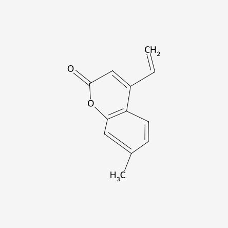 C=Cc1cc(=O)oc2cc(C)ccc12